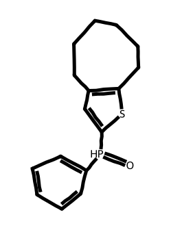 O=[PH](c1ccccc1)c1cc2c(s1)CCCCCC2